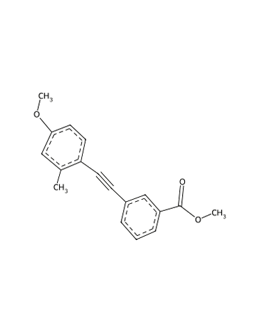 COC(=O)c1cccc(C#Cc2ccc(OC)cc2C)c1